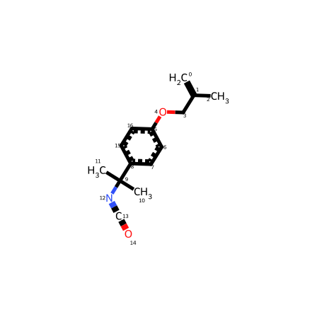 C=C(C)COc1ccc(C(C)(C)N=C=O)cc1